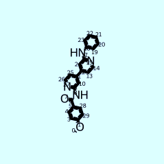 COc1ccc(C(=O)Nc2cc(-c3ccnc(Nc4ccccc4)c3)ccn2)cc1